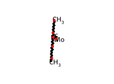 CCCCCCCCCCCCCCCCN(CCCCCCCCCCCC)C(=S)[S][Mo]